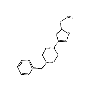 NCC1CC(C2CCN(Cc3ccccc3)CC2)=NO1